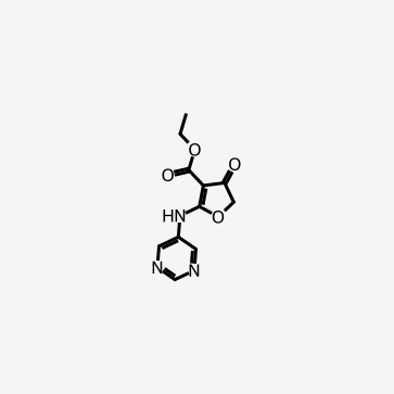 CCOC(=O)C1=C(Nc2cncnc2)OCC1=O